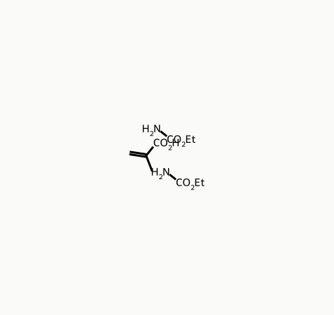 C=C(C)C(=O)O.CCOC(N)=O.CCOC(N)=O